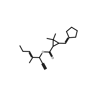 C#CC(OC(=O)C1C(C=C2CCCC2)C1(C)C)C(C)=CCC